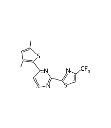 Cc1cc(C)c(-c2c[c]nc(-c3nc(C(F)(F)F)cs3)n2)s1